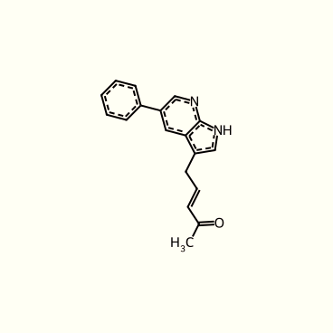 CC(=O)C=CCc1c[nH]c2ncc(-c3ccccc3)cc12